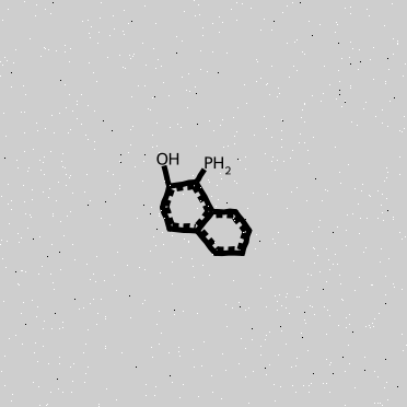 Oc1ccc2ccccc2c1P